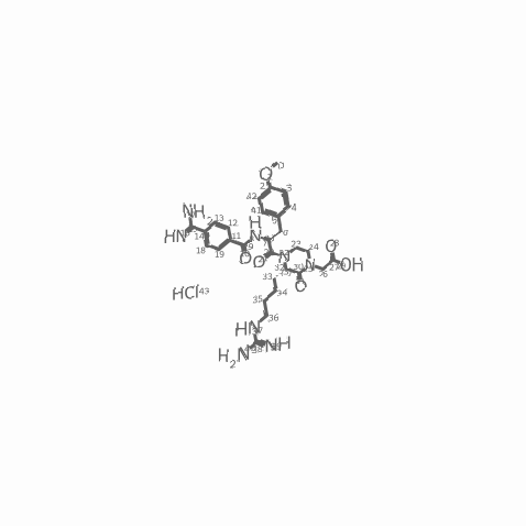 COc1ccc(C[C@H](NC(=O)c2ccc(C(=N)N)cc2)C(=O)N2CCN(CC(=O)O)C(=O)[C@@H]2CCCCNC(=N)N)cc1.Cl